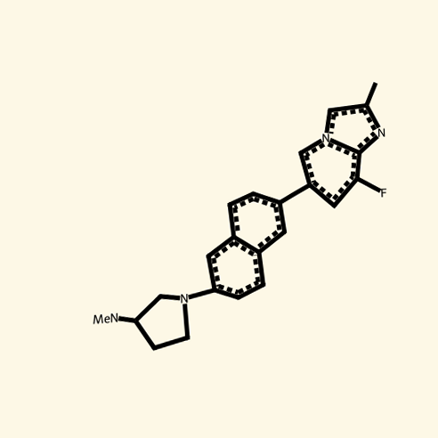 CNC1CCN(c2ccc3cc(-c4cc(F)c5nc(C)cn5c4)ccc3c2)C1